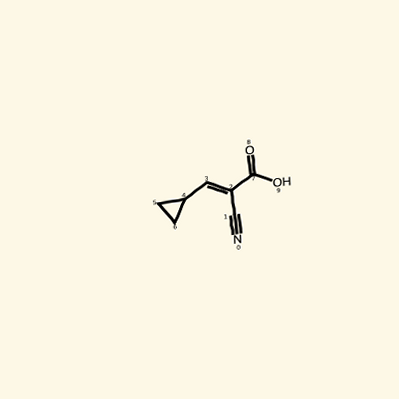 N#C/C(=C\C1CC1)C(=O)O